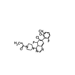 C=CC(=O)N1CCN(C2=NC=NC3=CC(c4c(F)cccc4OC)=C(Cl)C(F)C32)CC1